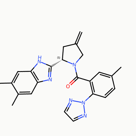 C=C1C[C@@H](c2nc3cc(C)c(C)cc3[nH]2)N(C(=O)c2cc(C)ccc2-n2nccn2)C1